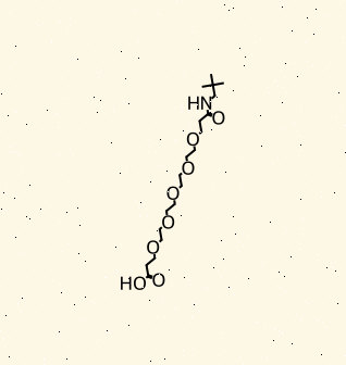 CC(C)(C)CNC(=O)CCOCCOCCOCCOCCOCCC(=O)O